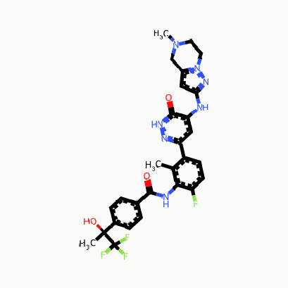 Cc1c(-c2cc(Nc3cc4n(n3)CCN(C)C4)c(=O)[nH]n2)ccc(F)c1NC(=O)c1ccc(C(C)(O)C(F)(F)F)cc1